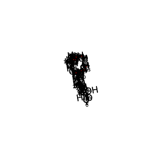 C=CCOC(=O)NC[C@H]1O[C@@H]2[C@H](C[C@H]1O)O[C@@]1(C[C@@H]2C)C[C@H](C)[C@@H]2O[C@]3(C[C@@H]2O1)C[C@H]1O[C@H]2[C@H](C)[C@H]4OC(=O)C[C@H]5CC[C@@H]6O[C@@H]7[C@H]8O[C@@H]9C[C@](CC[C@H]%10CC(=C)[C@H](CC[C@H]%11C[C@@H](C)C(=C)[C@@H](C[C@@H]4O[C@H]2C[C@H]1O3)O%11)O%10)(O[C@H]8[C@H]6O5)O[C@H]79